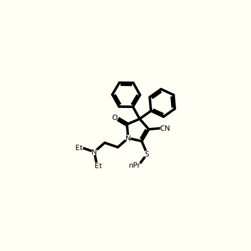 CCCSC1=C(C#N)C(c2ccccc2)(c2ccccc2)C(=O)N1CCN(CC)CC